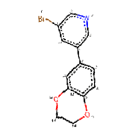 Brc1cncc(-c2ccc3c(c2)OCCO3)c1